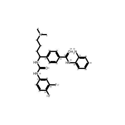 CN(C)CCCC(NC(=O)Nc1ccc(F)c(F)c1)c1ccc(C(=O)Nc2ccccc2N)cc1